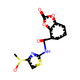 C[S+]([O-])c1csc(NC(=O)c2cccc3oc(=O)oc23)n1